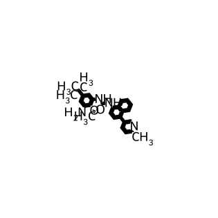 COc1c(N)cc(C(C)(C)C)cc1NC(=O)Nc1ccc(-c2ccc(C)nc2)c2ccccc12